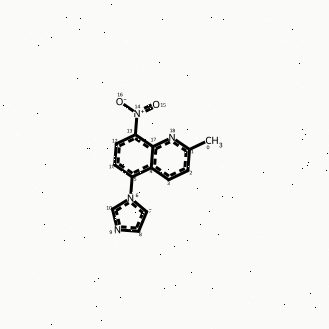 Cc1ccc2c(-n3ccnc3)ccc([N+](=O)[O-])c2n1